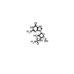 Nc1nc2c(ncn2[C@@H]2O[C@H](CO)[C@@H](NS(N)(=O)=O)[C@H]2O)c(=O)[nH]1